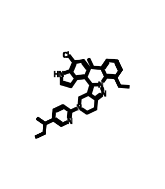 CCc1cccc(CC)c1-n1nc2c(c1-c1ccc(Cl)c3[nH]ccc13)CN(c1ccc(C(C)CC)cn1)CC2